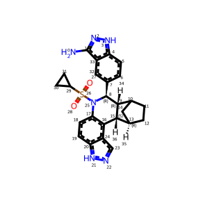 Nc1n[nH]c2ccc([C@H]3[C@@H]4C5CC[C@H](C5)[C@@H]4c4c(ccc5[nH]ncc45)N3S(=O)(=O)C3CC3)cc12